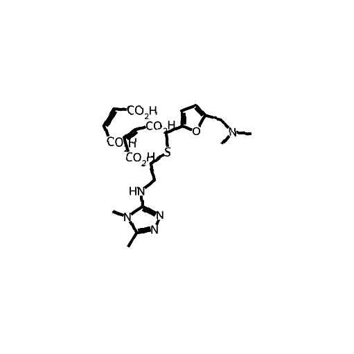 Cc1nnc(NCCSCc2ccc(CN(C)C)o2)n1C.O=C(O)/C=C\C(=O)O.O=C(O)/C=C\C(=O)O